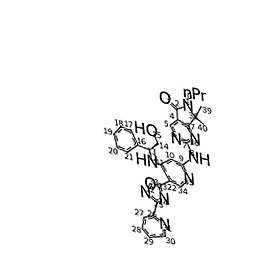 CCCN1C(=O)c2cnc(Nc3cc(N[C@H](CO)c4ccccc4)c(-c4nc(-c5ccccn5)no4)cn3)nc2C1(C)C